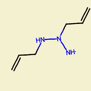 C=CCNN([NH])CC=C